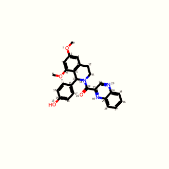 COc1cc2c(c(OC)c1)C(c1ccc(O)cc1)N(C(=O)c1cnc3ccccc3n1)CC2